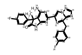 CC1(c2ccc(F)cc2)C(=O)Nc2nc(-c3cn4ncnc4c(Cc4ccc(F)cc4)n3)nc(N)c21